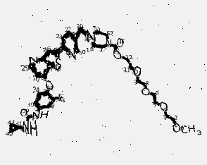 COCCOCCOCCOCCOC(=O)N1CCN(Cc2ccc(-c3cc4nccc(Oc5ccc(NC(=O)NC6CC6)cc5F)c4s3)nc2)CC1